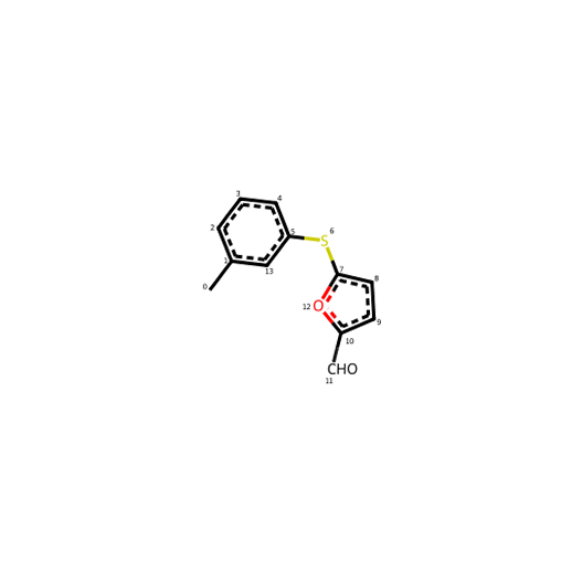 Cc1cccc(Sc2ccc(C=O)o2)c1